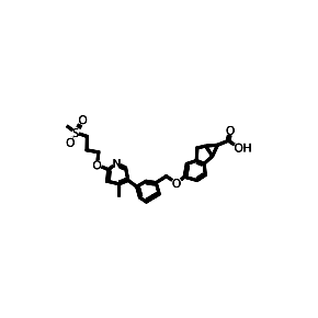 Cc1cc(OCCCS(C)(=O)=O)ncc1-c1cccc(COc2ccc3c(c2)CC2C(C(=O)O)C32)c1